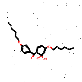 CCCCCCOC1=CC(O)(O)C(C(=O)c2ccc(OCCCCCC)cc2)C=C1